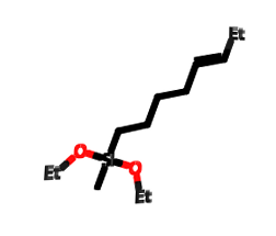 CCC=CCCCC[Si](C)(OCC)OCC